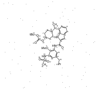 COc1c(NC(=O)c2cc3cccc(C(C)N4CCN(OC(=O)OC(C)(C)C)CC4)c3[nH]2)cc(CC(C)C)cc1NS(C)(=O)=O